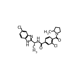 CC1CCCN1C(=O)c1ccc(C(=O)N[C@@H](C)c2nc3cc(Cl)ccc3[nH]2)cc1Cl